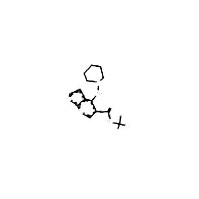 BC(B)(B)NC(=O)c1cnc2[nH]ccc2c1NN1CCCCC1